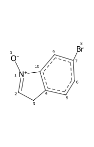 [O-][N+]1=CCc2ccc(Br)cc21